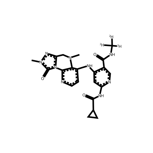 [2H]C([2H])([2H])NC(=O)c1cnc(NC(=O)C2CC2)cc1Nc1ccnc2c1N(C)Cc1nn(C)c(=O)n1-2